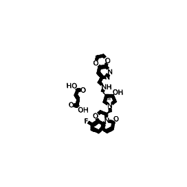 O=C(O)C=CC(=O)O.O=c1ccc2ccc(F)c3c2n1[C@H](CN1C[C@H](CNCc2cc4c(nn2)OCCO4)[C@H](O)C1)CO3